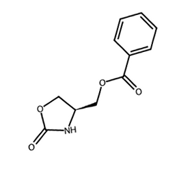 O=C1N[C@H](COC(=O)c2ccccc2)CO1